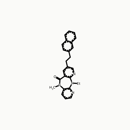 CCN1c2ncc(CCc3ccc4ccccc4c3)cc2C(=O)N(C)c2cccnc21